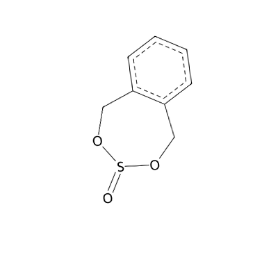 O=S1OCc2ccccc2CO1